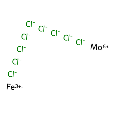 [Cl-].[Cl-].[Cl-].[Cl-].[Cl-].[Cl-].[Cl-].[Cl-].[Cl-].[Fe+3].[Mo+6]